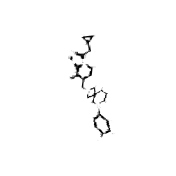 Fc1ccc(N2CCCC3(CN(Cc4ccn5c(CC6CC6)nnc5c4Cl)C3)C2)cc1